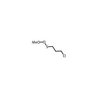 COOSCCCCl